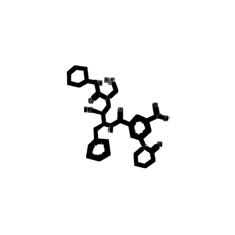 CCN(C[C@H](O)[C@H](Cc1ccccc1)NC(=O)c1cc(N2CCCCC2=O)cc([N+](=O)[O-])c1)C(=O)NC1CCCCC1